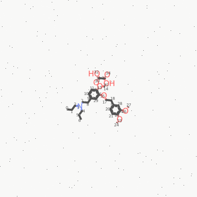 CCCN(CCC)CCc1ccc(OC)c(OCCc2ccc(OC)c(OC)c2)c1.O=C(O)C(=O)O